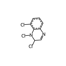 Clc1cccc2c1N(Cl)C(Cl)C=N2